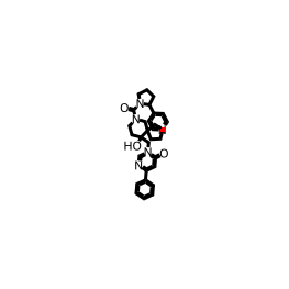 O=C(N1CCC(O)(Cn2cnc(-c3ccccc3)cc2=O)C2(CCCC2)C1)N1CCCC1c1ccncc1